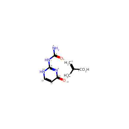 C=C(C)C(=O)O.NC(=O)Nc1nc(=O)cc[nH]1